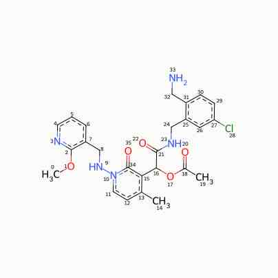 COc1ncccc1CNn1ccc(C)c(C(OC(C)=O)C(=O)NCc2cc(Cl)ccc2CN)c1=O